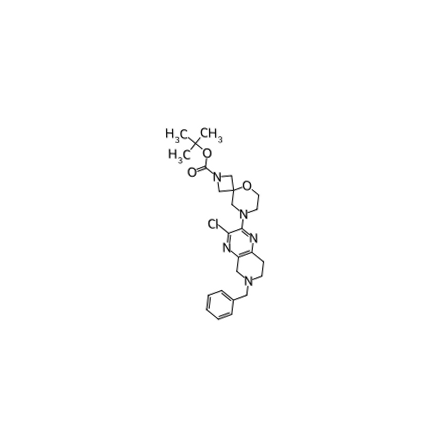 CC(C)(C)OC(=O)N1CC2(C1)CN(c1nc3c(nc1Cl)CN(Cc1ccccc1)CC3)CCO2